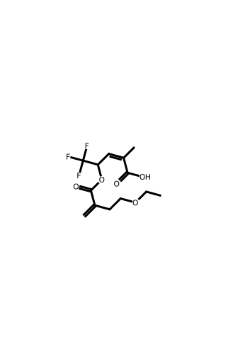 C=C(CCOCC)C(=O)OC(C=C(C)C(=O)O)C(F)(F)F